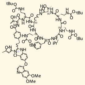 COc1cc2nccc(Oc3ccc(N/C(=N/c4cc(C)on4)SCc4ccc(C(=O)N[C@H](C(=O)N[C@@H](CCNC(=O)OC(C)(C)C)C(=O)N[C@H]5CCNC(=O)[C@H]([C@@H](C)O)NC(=O)[C@H](CCNC(=O)OC(C)(C)C)NC(=O)[C@H](CCNC(=O)OC(C)(C)C)NC(=O)[C@H](CC(C)C)NC(=O)[C@@H](Cc6ccccc6)NC(=O)[C@H](CCNC(=O)OC(C)(C)C)NC5=O)[C@@H](C)O)cc4)c(Cl)c3)c2cc1OC